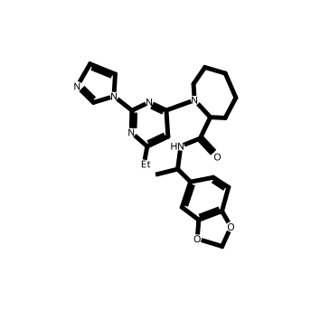 CCc1cc(N2CCCCCC2C(=O)NC(C)c2ccc3c(c2)OCO3)nc(-n2ccnc2)n1